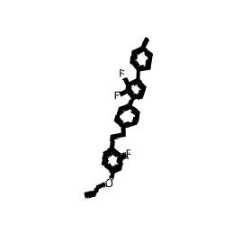 C=CCOc1ccc(CCc2ccc(-c3ccc(-c4ccc(C)cc4)c(F)c3F)cc2)c(F)c1